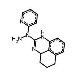 NN(C1=NC2CCCc3cccc(c32)N1)c1ccccn1